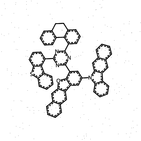 c1ccc2c(c1)CCc1cccc(-c3nc(-c4cc(-n5c6ccccc6c6cc7ccccc7cc65)cc5c4oc4cc6ccccc6cc45)nc(-c4cccc5sc6ccccc6c45)n3)c1-2